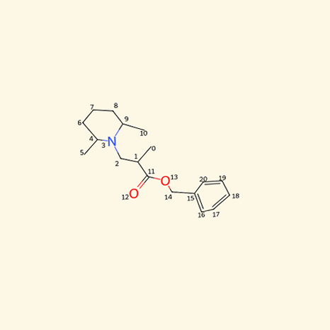 CC(CN1C(C)CCCC1C)C(=O)OCc1ccccc1